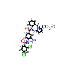 CCOC(=O)c1ccc2n1Cc1ccccc1N(C(=O)c1ccc(NC(=O)c3ccc(Cl)cc3Cl)c(C)c1)C2